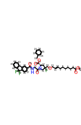 COC(=O)CCCCCC/C=C/COC[C@@]1(F)C[C@@H](C(=O)OCc2ccccc2)N(C(=O)CNC(=O)c2ccc3c(c2)-c2ccccc2C3(F)F)C1